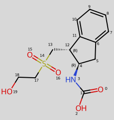 O=C(O)N[C@@H]1Cc2ccccc2[C@H]1CS(=O)(=O)CCO